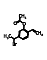 C=Cc1ccc(C(C)Br)cc1OC(C)=O